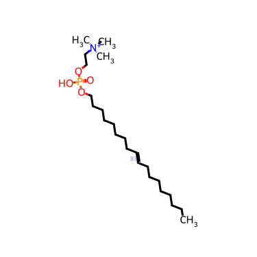 CCCCCCCC/C=C/CCCCCCCCOP(=O)(O)OCC[N+](C)(C)C